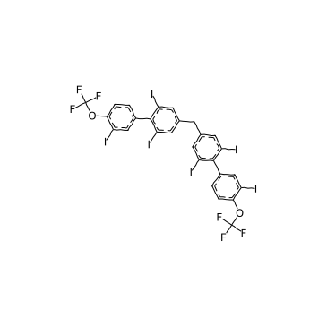 FC(F)(F)Oc1ccc(-c2c(I)cc(Cc3cc(I)c(-c4ccc(OC(F)(F)F)c(I)c4)c(I)c3)cc2I)cc1I